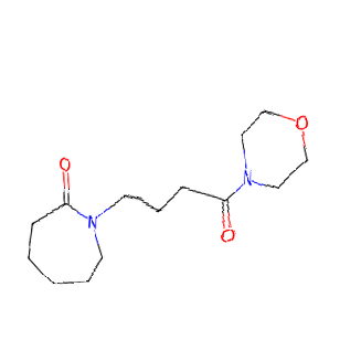 O=C1CCCCCN1CCCC(=O)N1CCOCC1